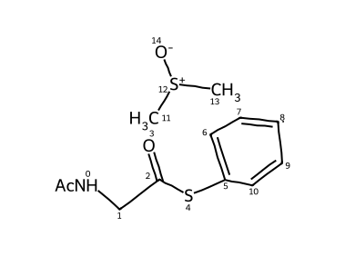 CC(=O)NCC(=O)Sc1cc[c]cc1.C[S+](C)[O-]